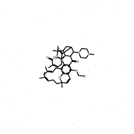 COC(=O)/C(C)=C\CC12OC(C)(C)C3CC(C1=O)C(N1CCN(C)CC1)C1C(=O)c4c(OCBr)c5c(c(CC=C(C)C)c4OC132)OC(C)(CCC=C(C)C)C=C5